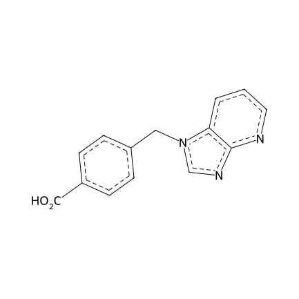 O=C(O)c1ccc(Cn2cnc3ncccc32)cc1